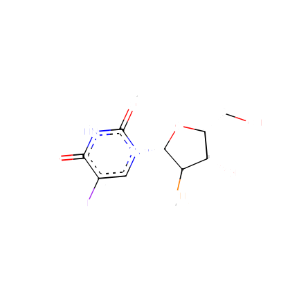 O=c1[nH]c(=O)n([C@@H]2O[C@H](CO)[C@H](O)C2P)cc1I